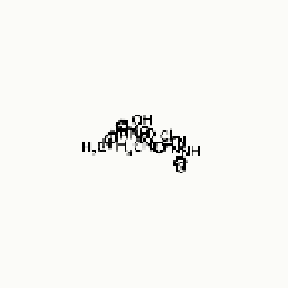 C[C@H](C(=O)NC(CO)c1cccc(N2CCN(C)CC2)n1)N1Cc2ccc(-c3nc(NC4CCOCC4)ncc3Cl)cc2C1=O